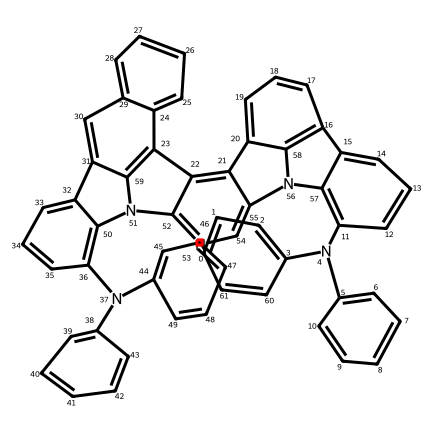 c1ccc(N(c2ccccc2)c2cccc3c4cccc5c6c7c8c9ccccc9cc9c%10cccc(N(c%11ccccc%11)c%11ccccc%11)c%10n(c7ncc6n(c23)c45)c98)cc1